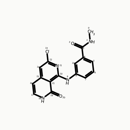 CNC(=O)c1cccc(Nc2nc(Cl)cc3cc[nH]c(=O)c23)c1